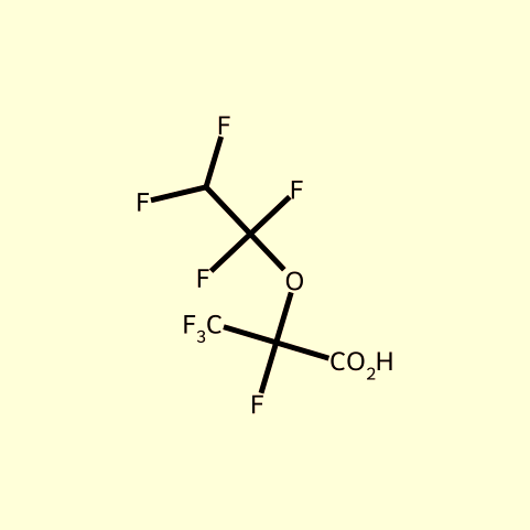 O=C(O)C(F)(OC(F)(F)C(F)F)C(F)(F)F